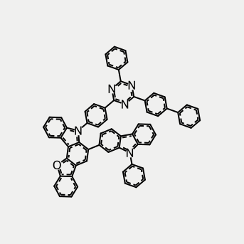 c1ccc(-c2ccc(-c3nc(-c4ccccc4)nc(-c4ccc(-n5c6ccccc6c6c7oc8ccccc8c7cc(-c7ccc8c9ccccc9n(-c9ccccc9)c8c7)c65)cc4)n3)cc2)cc1